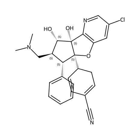 CN(C)C[C@@H]1[C@@H](c2ccccc2)[C@]2(C3C=CC(C#N)=CC3)Oc3cc(Cl)cnc3[C@]2(O)[C@H]1O